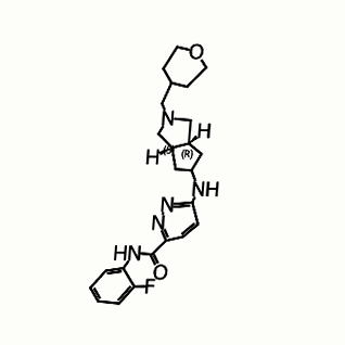 O=C(Nc1ccccc1F)c1ccc(NC2C[C@@H]3CN(CC4CCOCC4)C[C@@H]3C2)nn1